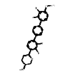 CCCOc1ccc(-c2ccc(-c3ccc(C4CCC(CCC)CO4)c(F)c3F)cc2)c(F)c1F